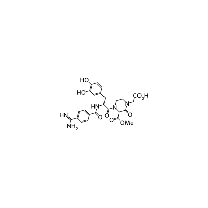 COC(=O)[C@@H]1C(=O)N(CC(=O)O)CCN1C(=O)C(Cc1ccc(O)c(O)c1)NC(=O)c1ccc(C(=N)N)cc1